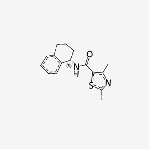 Cc1nc(C)c(C(=O)N[C@H]2CCCc3ccccc32)s1